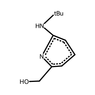 CC(C)(C)Nc1cccc(CO)n1